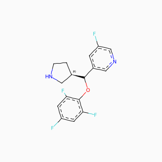 Fc1cncc(C(Oc2c(F)cc(F)cc2F)[C@@H]2CCNC2)c1